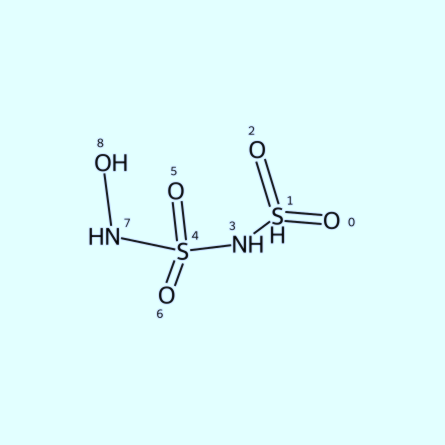 O=[SH](=O)NS(=O)(=O)NO